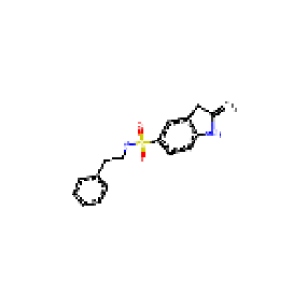 C=C1Cc2cc(S(=O)(=O)NCCc3ccccc3)ccc2N1